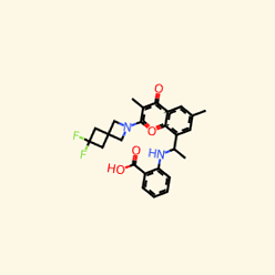 Cc1cc(C(C)Nc2ccccc2C(=O)O)c2oc(N3CC4(C3)CC(F)(F)C4)c(C)c(=O)c2c1